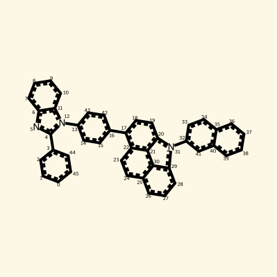 c1ccc(-c2nc3ccccc3n2-c2ccc(-c3ccc4c5c3ccc3cccc(c35)n4-c3ccc4ccccc4c3)cc2)cc1